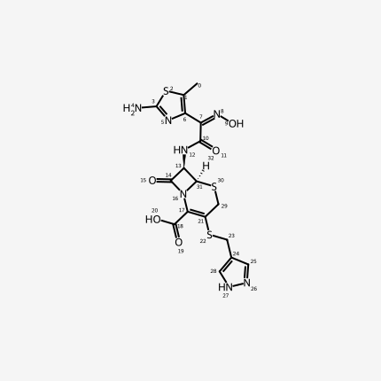 Cc1sc(N)nc1/C(=N/O)C(=O)N[C@@H]1C(=O)N2C(C(=O)O)=C(SCc3cn[nH]c3)CS[C@H]12